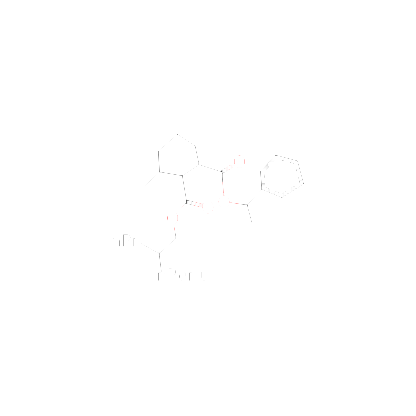 CCCCCC(CCC)COC(=O)C1C(C)CCCC1C(=O)OC(C)c1ccccc1